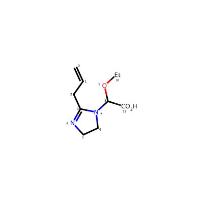 C=CCC1=NCCN1C(OCC)C(=O)O